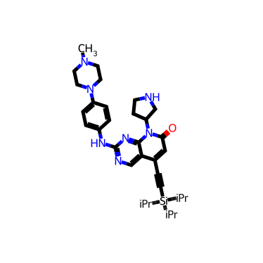 CC(C)[Si](C#Cc1cc(=O)n(C2CCNC2)c2nc(Nc3ccc(N4CCN(C)CC4)cc3)ncc12)(C(C)C)C(C)C